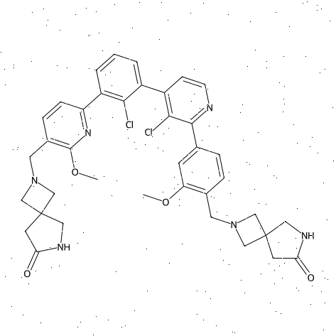 COc1cc(-c2nccc(-c3cccc(-c4ccc(CN5CC6(CNC(=O)C6)C5)c(OC)n4)c3Cl)c2Cl)ccc1CN1CC2(CNC(=O)C2)C1